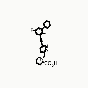 Cc1c(C#Cc2ccc(CN3CCCCC3C(=O)O)nn2)cc(F)cc1-c1ccccc1